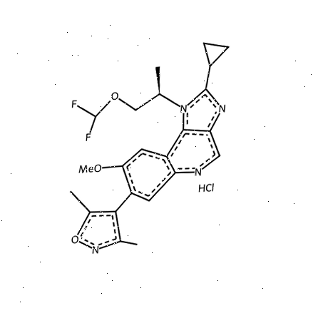 COc1cc2c(cc1-c1c(C)noc1C)ncc1nc(C3CC3)n([C@H](C)COC(F)F)c12.Cl